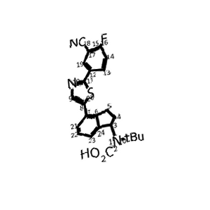 CC(C)(C)N(C(=O)O)C1CCc2c(-c3cnc(-c4ccc(F)c(C#N)c4)s3)cccc21